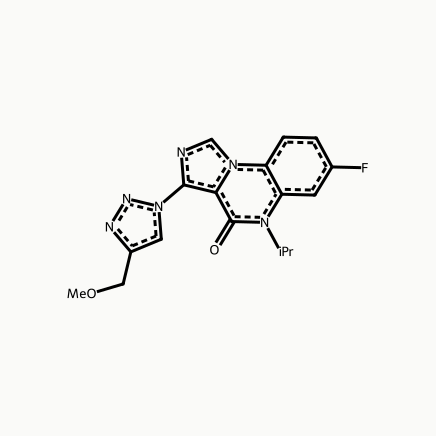 COCc1cn(-c2ncn3c2c(=O)n(C(C)C)c2cc(F)ccc23)nn1